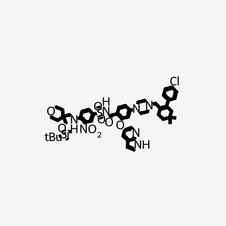 CC1(C)CCC(CN2CCN(c3ccc(C(=O)NS(=O)(=O)c4ccc(NCC5(CO[Si](C)(C)C(C)(C)C)CCOCC5)c([N+](=O)[O-])c4)c(Oc4cnc5[nH]ccc5c4)c3)CC2)=C(c2ccc(Cl)cc2)C1